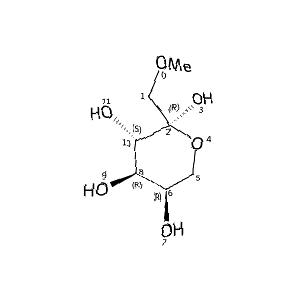 COC[C@@]1(O)OC[C@@H](O)[C@@H](O)[C@@H]1O